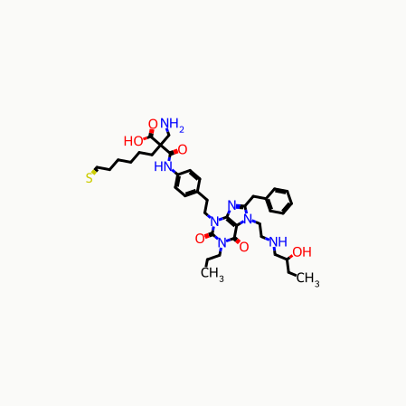 CCCn1c(=O)c2c(nc(Cc3ccccc3)n2CCNCC(O)CC)n(CCc2ccc(NC(=O)C(CN)(CCCCCC=S)C(=O)O)cc2)c1=O